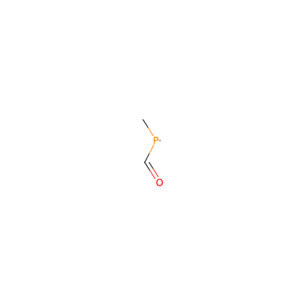 C[P]C=O